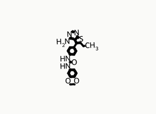 CCc1sc2ncnc(N)c2c1-c1ccc(NC(=O)Nc2ccc3c(c2)OCCO3)cc1